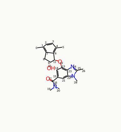 Cc1ccc(C)c2c1C[C@@H](O)[C@@H]2Oc1cc(C(=O)N(C)C)cc2c1nc(C)n2C